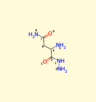 NNC(=O)C(N)CC(N)=O